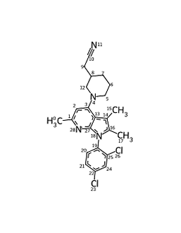 Cc1cc(N2CCCC(CC#N)C2)c2c(C)c(C)n(-c3ccc(Cl)cc3Cl)c2n1